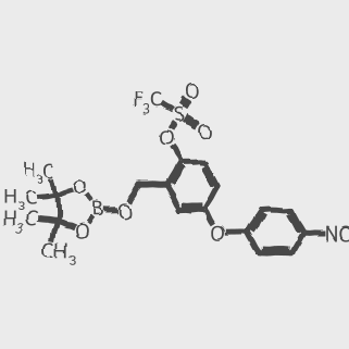 [C-]#[N+]c1ccc(Oc2ccc(OS(=O)(=O)C(F)(F)F)c(COB3OC(C)(C)C(C)(C)O3)c2)cc1